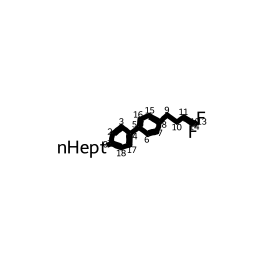 CCCCCCCc1ccc(-c2ccc(CCC=C(F)F)cc2)cc1